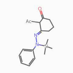 CC(=O)C1C(=O)CCC/C1=N\N(c1ccccc1)[Si](C)(C)C